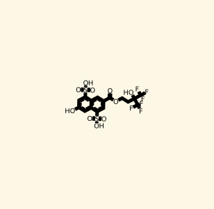 O=C(OCCC(O)(C(F)(F)F)C(F)(F)F)c1cc(S(=O)(=O)O)c2cc(O)cc(S(=O)(=O)O)c2c1